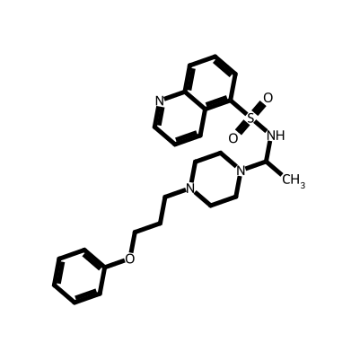 CC(NS(=O)(=O)c1cccc2ncccc12)N1CCN(CCCOc2ccccc2)CC1